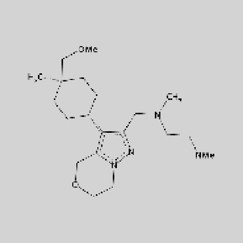 CNCCN(C)Cc1nn2c(c1[C@H]1CC[C@](C)(COC)CC1)COCC2